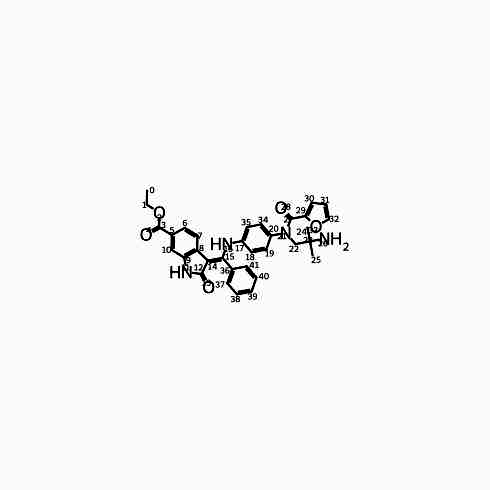 CCOC(=O)c1ccc2c(c1)NC(=O)C2=C(Nc1ccc(N(CC(C)(C)N)C(=O)c2ccco2)cc1)c1ccccc1